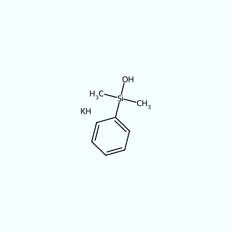 C[Si](C)(O)c1ccccc1.[KH]